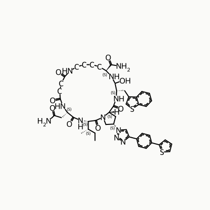 CC[C@H](C)[C@@H]1NC(=O)[C@H](CC(N)=O)NC(=O)CCC(=O)NCCCC[C@@H](C(N)=O)NC(O)[C@H](Cc2csc3ccccc23)NC(=O)[C@@H]2C[C@H](n3cc(-c4ccc(-c5cccs5)cc4)nn3)CN2C1=O